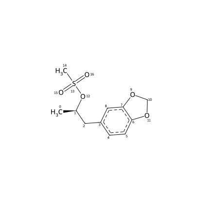 C[C@H](Cc1ccc2c(c1)OCO2)OS(C)(=O)=O